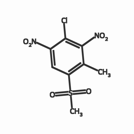 Cc1c(S(C)(=O)=O)cc([N+](=O)[O-])c(Cl)c1[N+](=O)[O-]